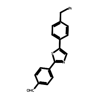 CC(C)Cc1ccc(-c2cnc(-c3ccc(C=O)cc3)s2)cc1